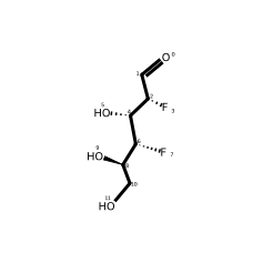 O=C[C@H](F)[C@@H](O)[C@H](F)[C@H](O)CO